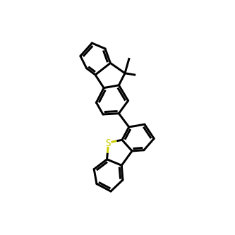 CC1(C)c2ccccc2-c2ccc(-c3cccc4c3sc3ccccc34)cc21